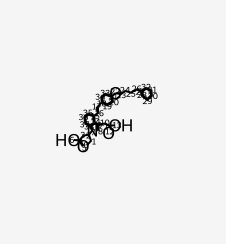 CCC(CC(=O)O)n1cc(CC(=O)O)c2c(/C=C/c3ccc(OCCCCc4ccccc4)cc3)cccc21